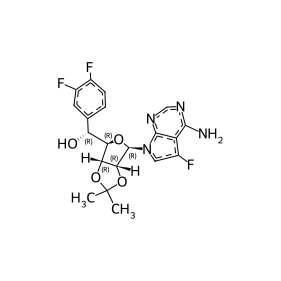 CC1(C)O[C@H]2[C@@H](O1)[C@H](n1cc(F)c3c(N)ncnc31)O[C@@H]2[C@H](O)c1ccc(F)c(F)c1